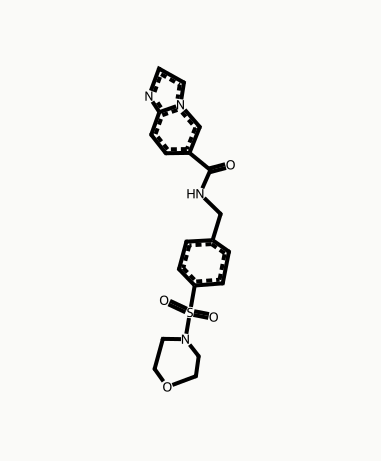 O=C(NCc1ccc(S(=O)(=O)N2CCOCC2)cc1)c1ccc2nccn2c1